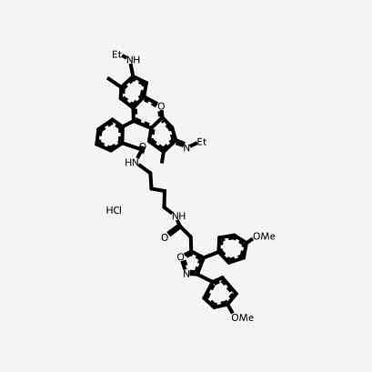 CCN=c1cc2oc3cc(NCC)c(C)cc3c(-c3ccccc3C(=O)NCCCCNC(=O)Cc3onc(-c4ccc(OC)cc4)c3-c3ccc(OC)cc3)c-2cc1C.Cl